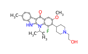 COc1cc2c(=O)c3c4ccc(C)cc4[nH]c3n(C(C)C)c2c(F)c1C1CCN(CCO)CC1